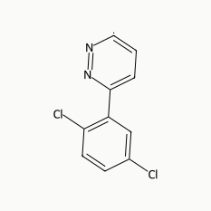 Clc1ccc(Cl)c(-c2cc[c]nn2)c1